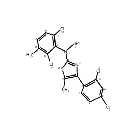 CCCN(c1nc(-c2ccc(Cl)cc2Cl)c(C)s1)c1c(Cl)ccc(C)c1Cl